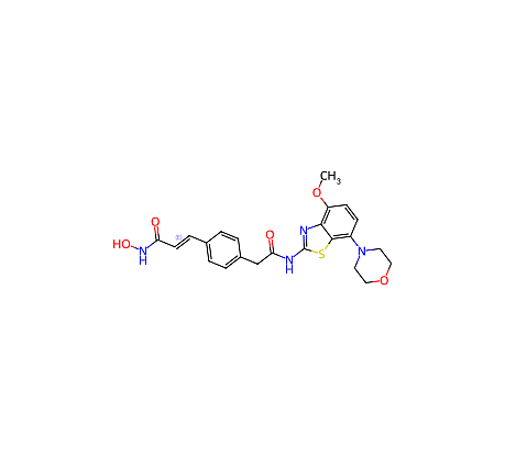 COc1ccc(N2CCOCC2)c2sc(NC(=O)Cc3ccc(/C=C/C(=O)NO)cc3)nc12